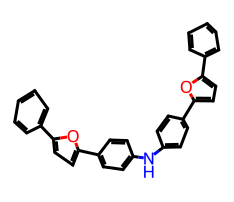 c1ccc(-c2ccc(-c3ccc(Nc4ccc(-c5ccc(-c6ccccc6)o5)cc4)cc3)o2)cc1